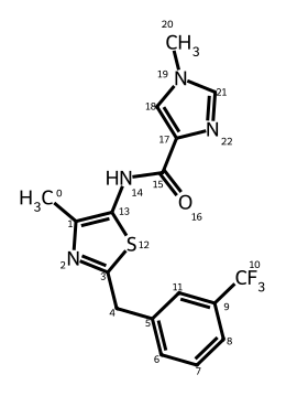 Cc1nc(Cc2cccc(C(F)(F)F)c2)sc1NC(=O)c1cn(C)cn1